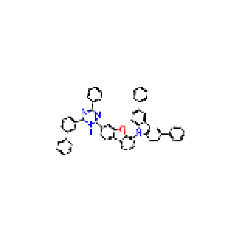 c1ccc(C2=NC(c3cccc(-c4ccccc4)c3)NC(c3ccc4c(c3)oc3c(-n5c6ccc(-c7ccccc7)cc6c6cc(-c7ccccc7)ccc65)cccc34)=N2)cc1